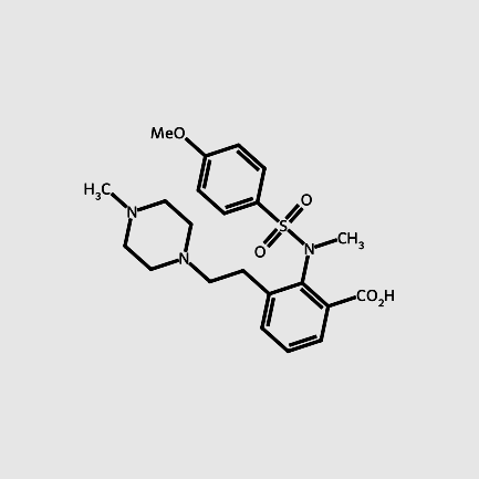 COc1ccc(S(=O)(=O)N(C)c2c(CCN3CCN(C)CC3)cccc2C(=O)O)cc1